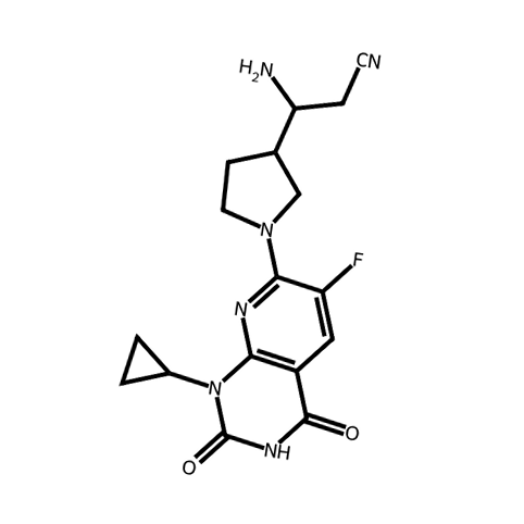 N#CCC(N)C1CCN(c2nc3c(cc2F)c(=O)[nH]c(=O)n3C2CC2)C1